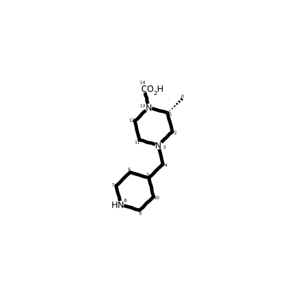 C[C@@H]1CN(CC2CCNCC2)CCN1C(=O)O